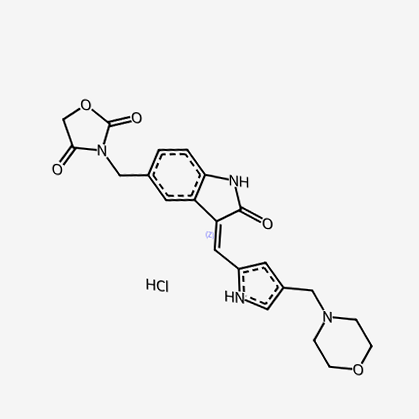 Cl.O=C1Nc2ccc(CN3C(=O)COC3=O)cc2/C1=C/c1cc(CN2CCOCC2)c[nH]1